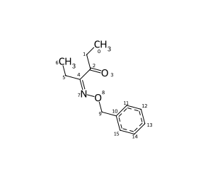 CCC(=O)C(CC)=NOCc1ccccc1